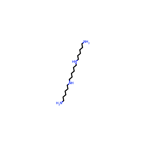 NCCCCCCNCCCCCCNCCCCCCN